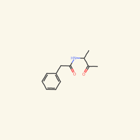 CC(=O)C(C)NC(=O)Cc1ccccc1